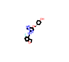 O[C@H]1CC[C@H](COc2cnc(NCc3c(F)ccc4c3CCO4)n3cnnc23)CC1